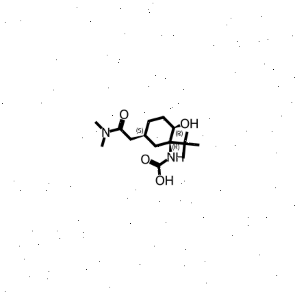 CN(C)C(=O)C[C@H]1CC[C@@H](O)[C@](NC(=O)O)(C(C)(C)C)C1